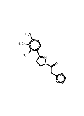 Cc1c(N)ccc(C2=NN(C(=O)Cc3cccs3)CC2)c1C